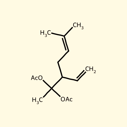 C=CC(CC=C(C)C)C(C)(OC(C)=O)OC(C)=O